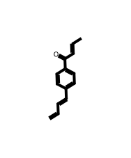 C=CC=Cc1ccc(C(=O)C=CC)cc1